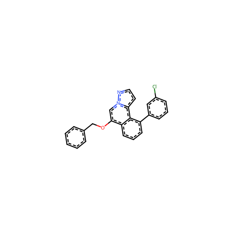 Clc1cccc(-c2cccc3c(OCc4ccccc4)cn4nccc4c23)c1